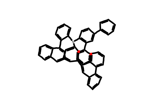 c1ccc(-c2ccc(N(c3cccc(-c4cc5ccccc5c5ccccc45)c3)c3ccccc3-c3cccc4ccccc34)c(-c3ccccc3)c2)cc1